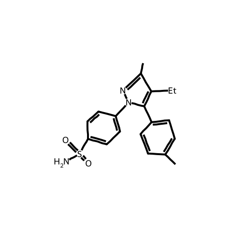 CCc1c(C)nn(-c2ccc(S(N)(=O)=O)cc2)c1-c1ccc(C)cc1